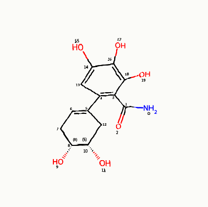 NC(=O)c1c(C2=CC[C@@H](O)[C@@H](O)C2)cc(O)c(O)c1O